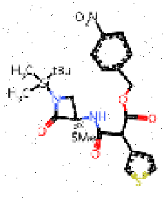 CS[C@@]1(NC(=O)C(C(=O)OCc2ccc([N+](=O)[O-])cc2)c2ccsc2)CN([Si](C)(C)C(C)(C)C)C1=O